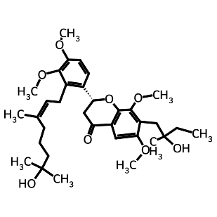 CCC(C)(O)Cc1c(OC)cc2c(c1OC)O[C@@H](c1ccc(OC)c(OC)c1CC=C(C)CCCC(C)(C)O)CC2=O